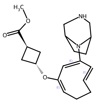 COC(=O)[C@H]1C[C@H](OC2=C/CC/C=C/C(N3C4CCC3CNC4)=C\2)C1